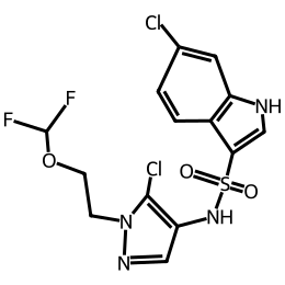 O=S(=O)(Nc1cnn(CCOC(F)F)c1Cl)c1c[nH]c2cc(Cl)ccc12